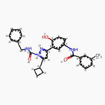 O=C(Nc1ccc(O)c(-c2cc(C3CCC3)n(C(=O)NCc3ccccc3)n2)c1)c1cccc(C(F)(F)F)c1